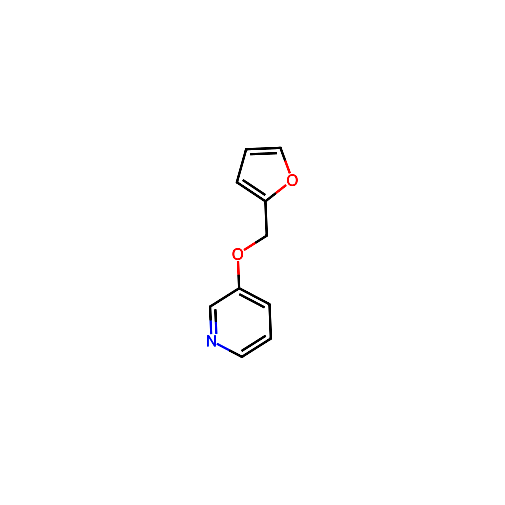 c1cncc(OCc2ccco2)c1